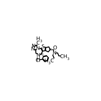 CCCN(CCC)C(=O)[C@@H]1Cc2sc3c(c2C1)[C@H](c1ccccc1Cl)NCc1nnc(C)n1-3